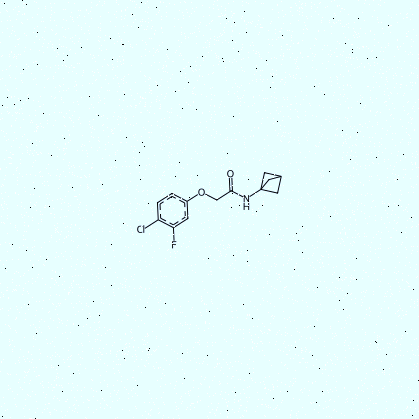 O=C(COc1ccc(Cl)c(F)c1)NC12CC(C1)C2